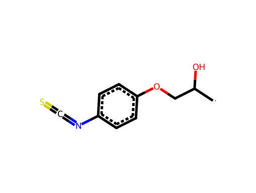 [CH2]C(O)COc1ccc(N=C=S)cc1